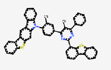 N#Cc1cc(-c2nc(-c3cccc4c3sc3ccccc34)nc(-c3ccccc3)c2C#N)ccc1-n1c2ccccc2c2cc3c(cc21)sc1ccccc13